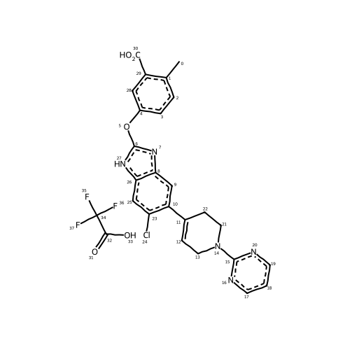 Cc1ccc(Oc2nc3cc(C4=CCN(c5ncccn5)CC4)c(Cl)cc3[nH]2)cc1C(=O)O.O=C(O)C(F)(F)F